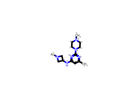 CC(=O)N1CC(Nc2cc(C)nc(N3CCN(C)CC3)n2)C1